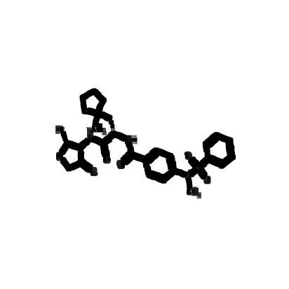 CC[C@@H]1OCC(=O)C1NC(=O)[C@H](CC1(C)CCCC1)NC(=O)c1ccc(N(C)S(=O)(=O)c2ccccc2)cc1